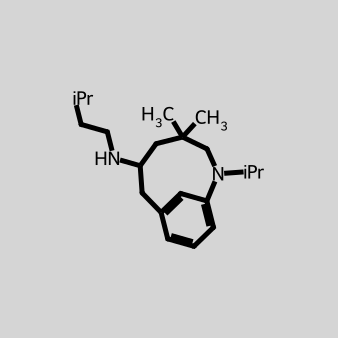 CC(C)CCNC1Cc2cccc(c2)N(C(C)C)CC(C)(C)C1